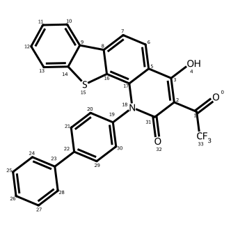 O=C(c1c(O)c2ccc3c4ccccc4sc3c2n(-c2ccc(-c3ccccc3)cc2)c1=O)C(F)(F)F